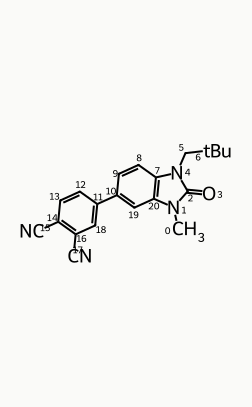 Cn1c(=O)n(CC(C)(C)C)c2ccc(-c3ccc(C#N)c(C#N)c3)cc21